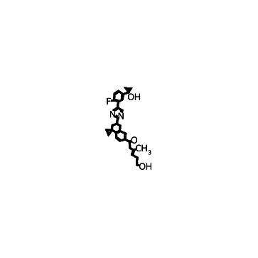 C/C(=C\CCO)CC(=O)c1ccc2c(c1)CC(c1ncc(-c3cc(C4(O)CC4)ccc3F)cn1)CC21CC1